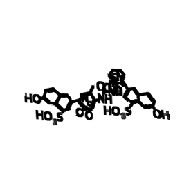 Cc1c2ccc(c1NC(=O)Nc1c3ccc(c1C)N(c1cc(S(=O)(=O)O)c4cc(O)ccc4c1)S3(=O)=O)S(=O)(=O)N2c1cc(S(=O)(=O)O)c2cc(O)ccc2c1